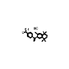 C=C(c1ccc(C(=O)O)cc1)c1cc2c(cc1C)C(C)(C)CCC2(C)C.Cl